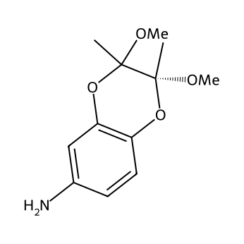 COC1(C)Oc2cc(N)ccc2O[C@@]1(C)OC